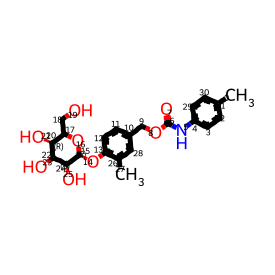 Cc1ccc(NC(=O)OCc2ccc(O[C@@H]3OC(CO)[C@H](O)C(O)[C@@H]3O)c(C)c2)cc1